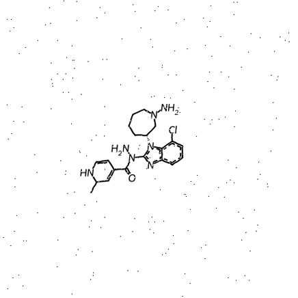 CC1C=C(C(=O)N(N)c2nc3cccc(Cl)c3n2[C@@H]2CCCCN(N)C2)C=CN1